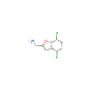 NCc1cc2c(F)ccc(Br)c2o1